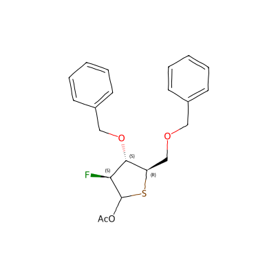 CC(=O)OC1S[C@H](COCc2ccccc2)[C@@H](OCc2ccccc2)[C@@H]1F